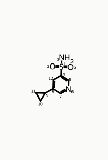 NS(=O)(=O)c1cncc(C2CC2)c1